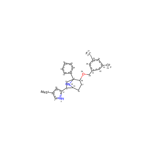 CSc1c[nH]c(C2CC3(c4ccccc4)NC2CCC3OCc2cc(C(F)(F)F)cc(C(F)(F)F)c2)c1